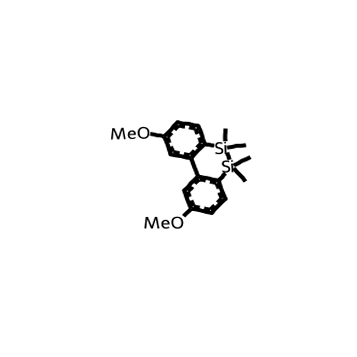 COc1ccc2c(c1)-c1cc(OC)ccc1[Si](C)(C)[Si]2(C)C